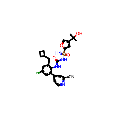 CC(C)(O)c1coc([S@](=N)(=O)NC(=O)Nc2c(CC3CCC3)cc(F)cc2-c2ccnc(C#N)c2)c1